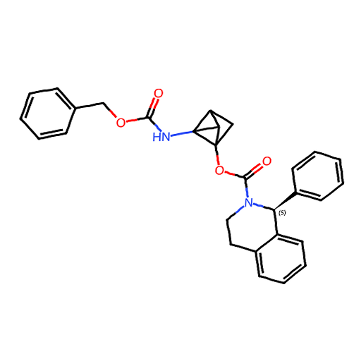 O=C(NC1C2CC1(OC(=O)N1CCc3ccccc3[C@@H]1c1ccccc1)C2)OCc1ccccc1